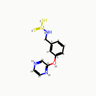 S=S(S)NCc1cccc(Oc2cnccn2)c1